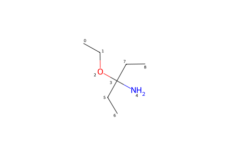 CCOC(N)(CC)CC